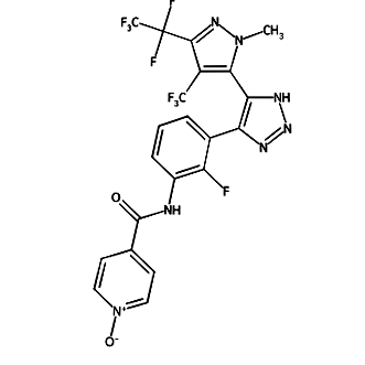 Cn1nc(C(F)(F)C(F)(F)F)c(C(F)(F)F)c1-c1[nH]nnc1-c1cccc(NC(=O)c2cc[n+]([O-])cc2)c1F